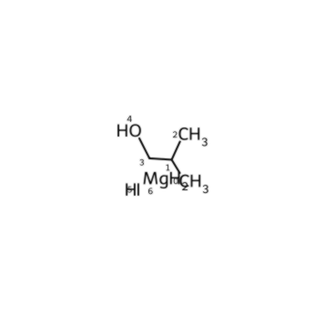 CC(C)CO.I.[MgH2]